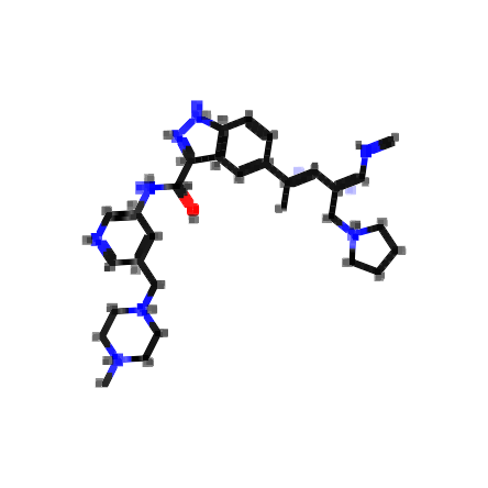 C=N/C=C(\C=C(/C)c1ccc2[nH]nc(C(=O)Nc3cncc(CN4CCN(C)CC4)c3)c2c1)CN1CCCC1